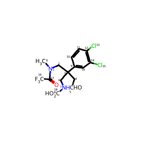 CN(CC(CC=O)(CNC(=O)O)c1ccc(Cl)c(Cl)c1)C(=O)C(F)(F)F